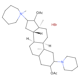 Br.CC(=O)OC1CC2CC[C@@H]3[C@@H](CC[C@]4(C)C(OC(C)=O)C([N+]5(C)CCCCCC5)C[C@@H]34)[C@@]2(C)CC1N1CCCCC1